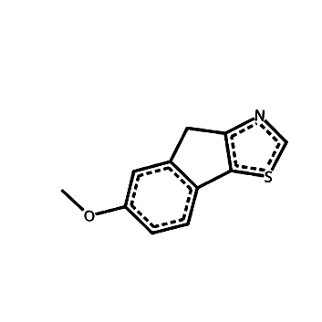 COc1ccc2c(c1)Cc1ncsc1-2